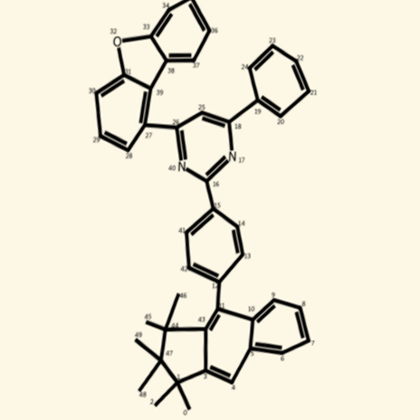 CC1(C)c2cc3ccccc3c(-c3ccc(-c4nc(-c5ccccc5)cc(-c5cccc6oc7ccccc7c56)n4)cc3)c2C(C)(C)C1(C)C